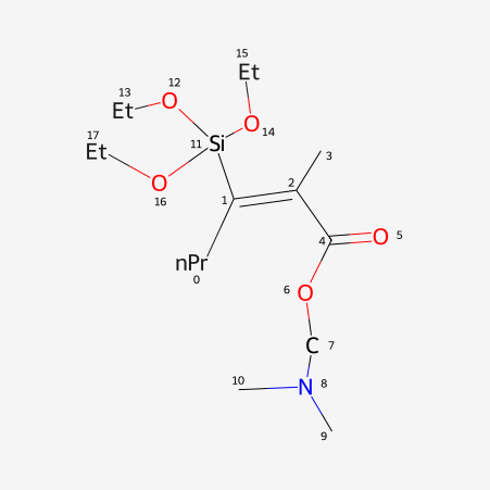 CCCC(=C(C)C(=O)OCN(C)C)[Si](OCC)(OCC)OCC